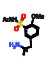 COc1ccc(C[C@@H](C)N)cc1S(=O)(=O)NC(C)=O